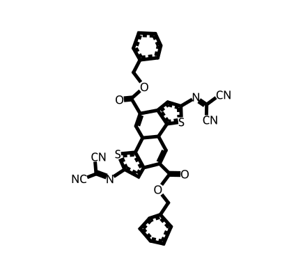 N#CC(C#N)=Nc1cc2c(s1)C1C=C(C(=O)OCc3ccccc3)c3cc(N=C(C#N)C#N)sc3C1C=C2C(=O)OCc1ccccc1